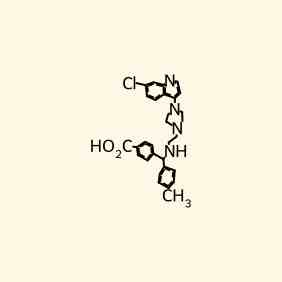 Cc1ccc(C(NCCN2CCN(c3ccnc4cc(Cl)ccc34)CC2)c2ccc(C(=O)O)cc2)cc1